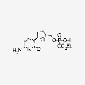 CCOC(=O)P(=O)(O)OC[C@@H]1CC[C@H](n2ccc(N)nc2=O)O1